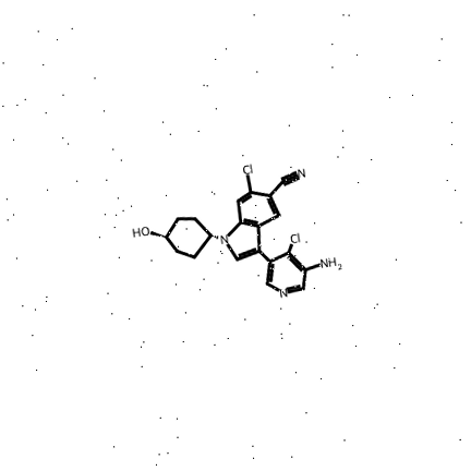 N#Cc1cc2c(-c3cncc(N)c3Cl)cn([C@H]3CC[C@H](O)CC3)c2cc1Cl